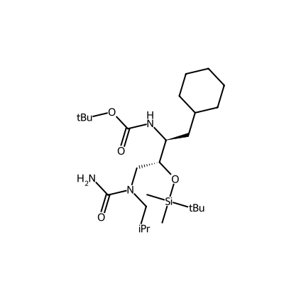 CC(C)CN(C[C@@H](O[Si](C)(C)C(C)(C)C)[C@H](CC1CCCCC1)NC(=O)OC(C)(C)C)C(N)=O